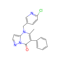 Cc1c(-c2ccccc2)c(=O)n2nccc2n1Cc1ccc(Cl)nc1